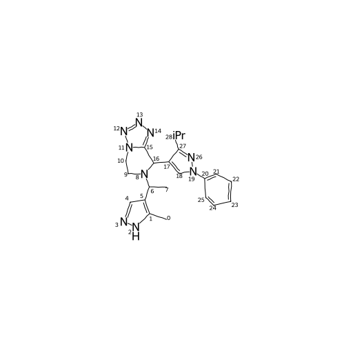 Cc1[nH]ncc1C(C)N1CCn2nnnc2C1c1cn(-c2ccccc2)nc1C(C)C